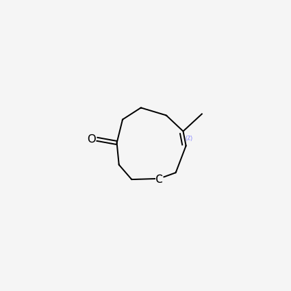 C/C1=C/CCCCC(=O)CCC1